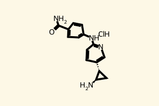 Cl.NC(=O)c1ccc(Nc2ccc([C@@H]3C[C@H]3N)cn2)cc1